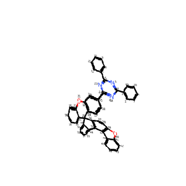 c1ccc(-c2nc(-c3ccccc3)nc(-c3ccc4c(c3)Oc3ccccc3C43c4ccccc4-c4c3ccc3oc5ccccc5c43)n2)cc1